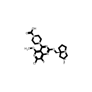 COc1nc(Cl)c(F)c2nc(OC[C@@]34CCCN3C[C@H](F)C4)nc(N3CCN(C(=O)O)CC3)c12